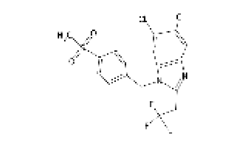 CS(=O)(=O)c1ccc(Cn2c(CC(F)(F)F)nc3cc(Cl)c(Cl)cc32)cc1